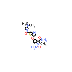 Cc1c(C(N)=O)c2cc(Oc3ccnc4cc(C(=O)N5CC[C@@H](N(C)C)C5)sc34)ccc2n1C(N)=O